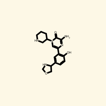 Nc1nc(-c2cc(C3COCN3)ccc2O)cn(C2CCCNC2)c1=O